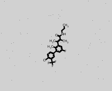 CCCNC(=O)/C(C)=C(\C)c1cc(F)cc(-c2ccc(Cl)c(C(F)(F)F)c2)c1C